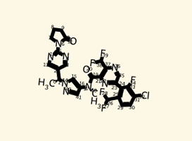 C[C@@H](c1cnc(N2CCCC2=O)nc1)n1cc(N(C)C(=O)c2nc(-c3c(C(F)F)ccc(Cl)c3F)cnc2C(F)F)cn1